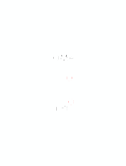 CCCOC1CCC2C(C1)OC1C(C)C(OC)CCC21